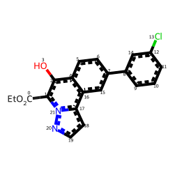 CCOC(=O)c1c(O)c2ccc(-c3cccc(Cl)c3)cc2c2ccnn12